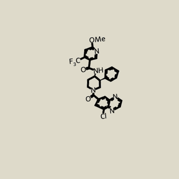 COc1cc(C(F)(F)F)c(C(=O)N[C@@H]2CCN(C(=O)c3cc(Cl)c4nccnc4c3)C[C@@H]2c2ccccc2)cn1